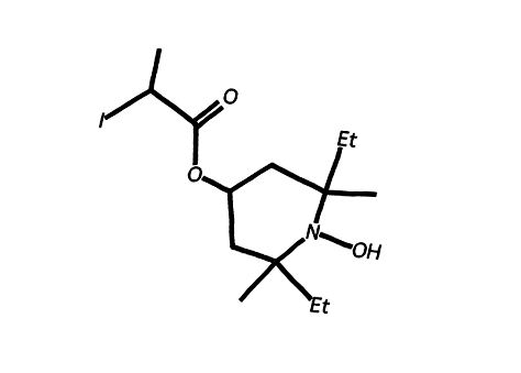 CCC1(C)CC(OC(=O)C(C)I)CC(C)(CC)N1O